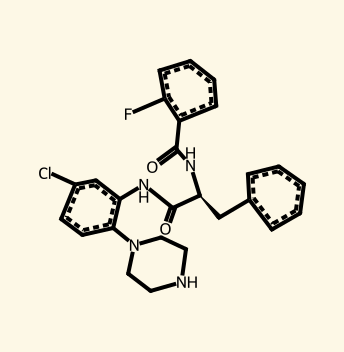 O=C(N[C@@H](Cc1ccccc1)C(=O)Nc1cc(Cl)ccc1N1CCNCC1)c1ccccc1F